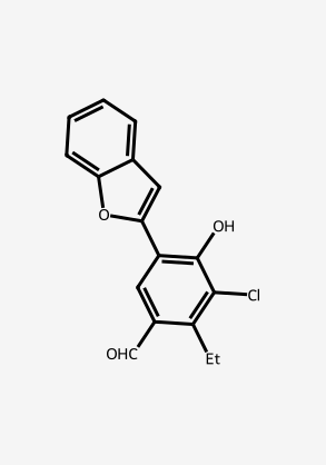 CCc1c(C=O)cc(-c2cc3ccccc3o2)c(O)c1Cl